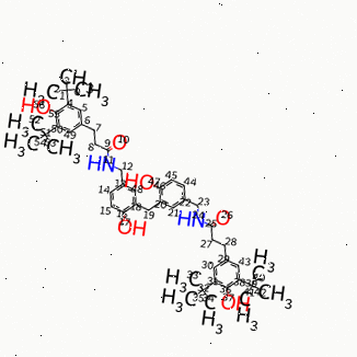 CC(C)(C)c1cc(CCC(=O)NCc2ccc(O)c(Cc3cc(CNC(=O)CCc4cc(C(C)(C)C)c(O)c(C(C)(C)C)c4)ccc3O)c2)cc(C(C)(C)C)c1O